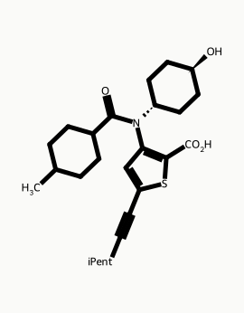 CCCC(C)C#Cc1cc(N(C(=O)C2CCC(C)CC2)[C@H]2CC[C@H](O)CC2)c(C(=O)O)s1